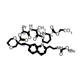 CC(C)[C@H](OC(=O)[C@@]1(/C=C/c2ccc3ccc(CCNC(=O)OC(C)(C)C)nc3c2)COCCO1)C(=O)N[C@@H](C)C(=O)N1CCC[C@@H](C(=O)OCC(Cl)(Cl)Cl)N1